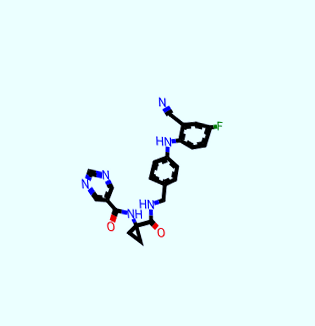 N#Cc1cc(F)ccc1Nc1ccc(CNC(=O)C2(NC(=O)c3cncnc3)CC2)cc1